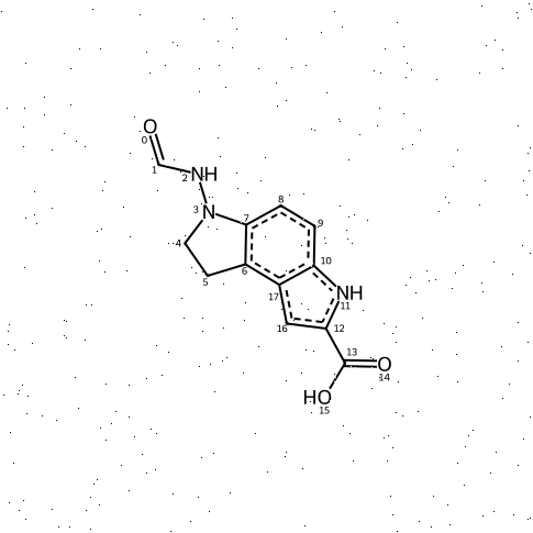 O=CNN1CCc2c1ccc1[nH]c(C(=O)O)cc21